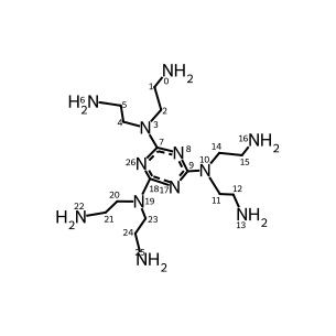 NCCN(CCN)c1nc(N(CCN)CCN)nc(N(CCN)CCN)n1